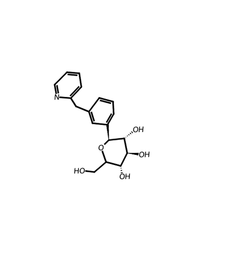 OCC1O[C@@H](c2cccc(Cc3ccccn3)c2)[C@H](O)[C@@H](O)[C@@H]1O